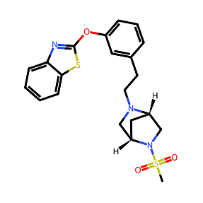 CS(=O)(=O)N1C[C@@H]2C[C@H]1CN2CCc1cccc(Oc2nc3ccccc3s2)c1